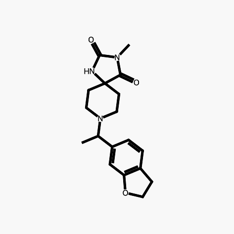 CC(c1ccc2c(c1)OCC2)N1CCC2(CC1)NC(=O)N(C)C2=O